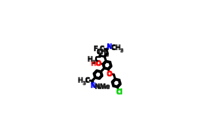 C=C(C)/C(=C\C(=N/C)C(F)(F)F)c1ccc(OCc2ccc(Cl)cc2)c(-c2ccc(/C(C)=N\NC)cc2)c1O